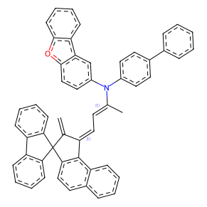 C=C1/C(=C\C=C(/C)N(c2ccc(-c3ccccc3)cc2)c2ccc3oc4ccccc4c3c2)c2c(ccc3ccccc23)C12c1ccccc1-c1ccccc12